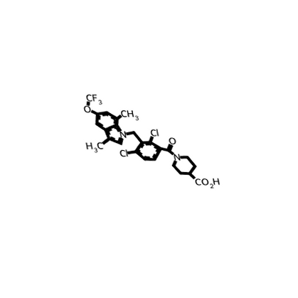 Cc1cn(Cc2c(Cl)ccc(C(=O)N3CCC(C(=O)O)CC3)c2Cl)c2c(C)cc(OC(F)(F)F)cc12